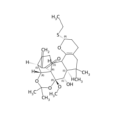 C=C1C(=O)[C@@]23[C@@H]4OC(C)(C)O[C@@]2(OC)[C@@H](O)[C@H]2C(C5=C(CC[C@@H](SCC)O5)CC2(C)C)[C@@H]3CC[C@@H]14